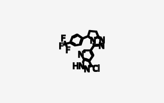 FC(F)(F)c1ccc(C2CCc3nnc(-c4cnc5[nH]nc(Cl)c5c4)n32)cc1